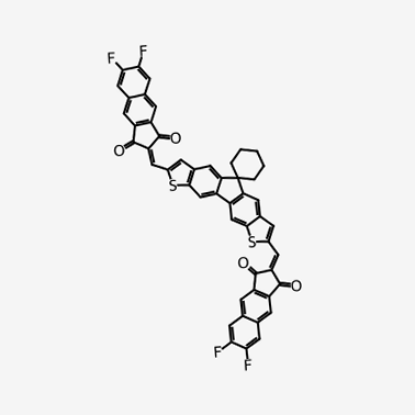 O=C1C(=Cc2cc3cc4c(cc3s2)-c2cc3sc(C=C5C(=O)c6cc7cc(F)c(F)cc7cc6C5=O)cc3cc2C42CCCCC2)C(=O)c2cc3cc(F)c(F)cc3cc21